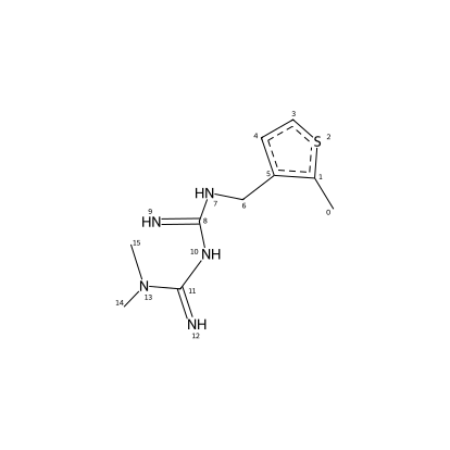 Cc1sccc1CNC(=N)NC(=N)N(C)C